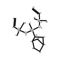 C=C[Si](C)(C)O[Si](C)(O[Si](C)(C)C=C)C1CC2CCC1C2